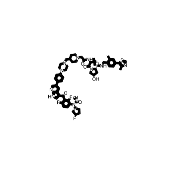 [CH2]c1cc(-c2scnc2C)ccc1CNC(=O)[C@@H]1C[C@@H](O)CN1C(=O)[C@@H](NC(=O)CN1CCC(CN2CCN(c3ccc(-c4cnc5[nH]cc(C(=O)c6c(F)ccc(N(N7CC[C@@H](F)C7)[SH](=O)=O)c6F)c5c4)cc3)CC2)CC1)C(C)(C)C